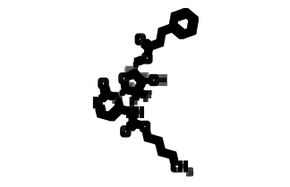 CCCCCOC(=O)Nc1ccnc(=O)n1[C@@H]1O[C@H](COC(=O)CCc2ccccc2)[C@@H](O)C1(F)F